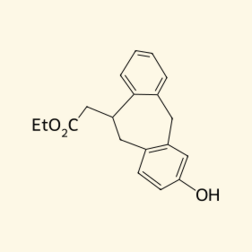 CCOC(=O)CC1Cc2ccc(O)cc2Cc2ccccc21